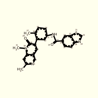 Cc1cc2c(cn1)cc(-c1cc(NC(=O)c3ccc4ncsc4c3)ccc1C)c(=O)n2C